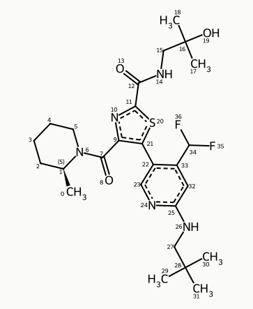 C[C@H]1CCCCN1C(=O)c1nc(C(=O)NCC(C)(C)O)sc1-c1cnc(NCC(C)(C)C)cc1C(F)F